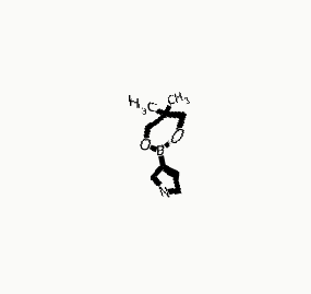 CC1(C)COB(C2=CCN=C2)OC1